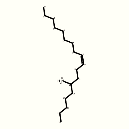 CCCCCCCC/C=C\CCC(N)CCCCC